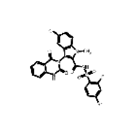 Cn1c(C(=O)NS(=O)(=O)c2ccc(Br)cc2F)c(-n2c(=O)[nH]c3ccccc3c2=O)c2cc(Cl)ccc21